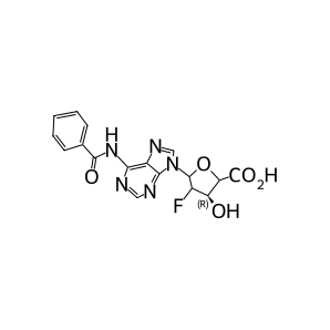 O=C(Nc1ncnc2c1ncn2C1OC(C(=O)O)[C@@H](O)C1F)c1ccccc1